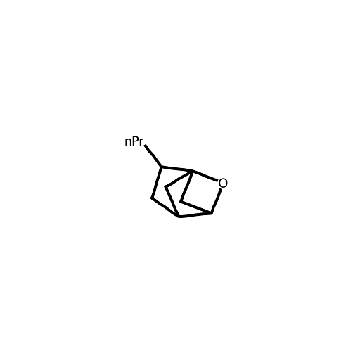 CCCC1CC2CC13CC2O3